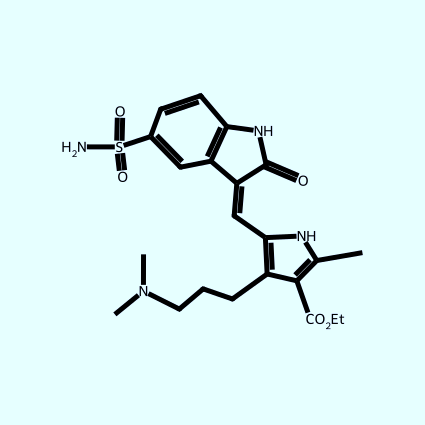 CCOC(=O)c1c(C)[nH]c(C=C2C(=O)Nc3ccc(S(N)(=O)=O)cc32)c1CCCN(C)C